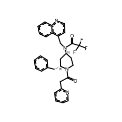 O=C(Cc1ccccn1)N1CC[C@H](N(Cc2ccnc3ccccc23)C(=O)C(F)(F)F)C[C@H]1Cc1ccccc1